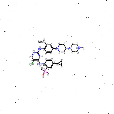 COc1cc(N2CCC(N3CCN(C)CC3)CC2)ccc1Nc1ncc(Cl)c(Nc2ccc(C3CC3)cc2P(C)(C)=O)n1